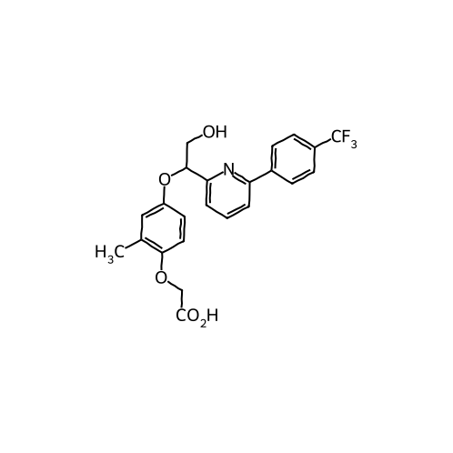 Cc1cc(OC(CO)c2cccc(-c3ccc(C(F)(F)F)cc3)n2)ccc1OCC(=O)O